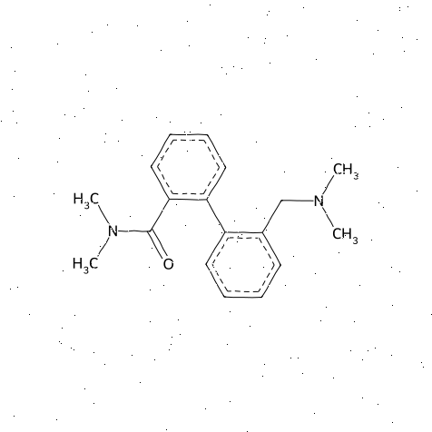 CN(C)Cc1ccccc1-c1ccccc1C(=O)N(C)C